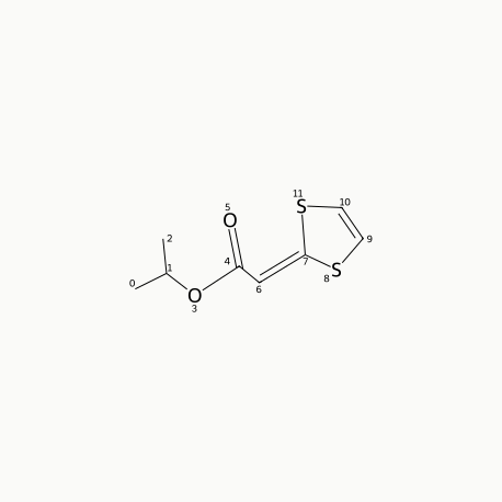 CC(C)OC(=O)C=C1SC=CS1